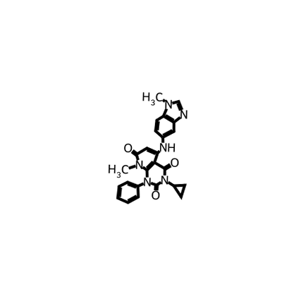 Cn1cnc2cc(Nc3cc(=O)n(C)c4c3c(=O)n(C3CC3)c(=O)n4-c3ccccc3)ccc21